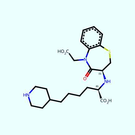 O=C(O)CN1C(=O)[C@H](N[C@H](CCCCC2CCNCC2)C(=O)O)CSc2ccccc21